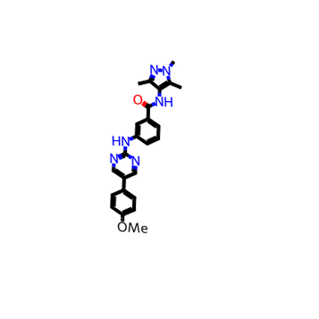 COc1ccc(-c2cnc(Nc3cccc(C(=O)Nc4c(C)nn(C)c4C)c3)nc2)cc1